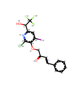 O=C(/C=C/c1ccccc1)COc1c(I)cc(C(O)C(F)(F)F)nc1Cl